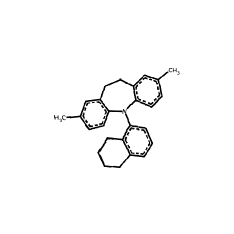 Cc1ccc2c(c1)CCc1cc(C)ccc1N2c1cccc2c1CCCC2